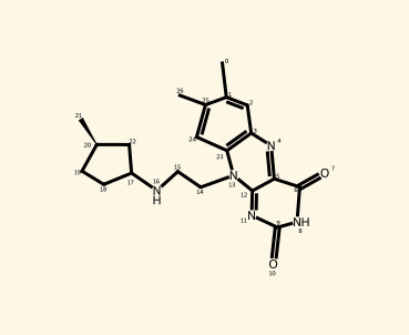 Cc1cc2nc3c(=O)[nH]c(=O)nc-3n(CCNC3CC[C@@H](C)C3)c2cc1C